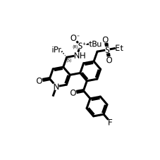 CCS(=O)(=O)Cc1ccc(C(=O)c2ccc(F)cc2)c(-c2cn(C)c(=O)cc2[C@@H](N[S@@+]([O-])C(C)(C)C)C(C)C)c1